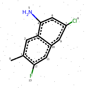 Cc1cc2c(N)cc(Cl)cc2cc1F